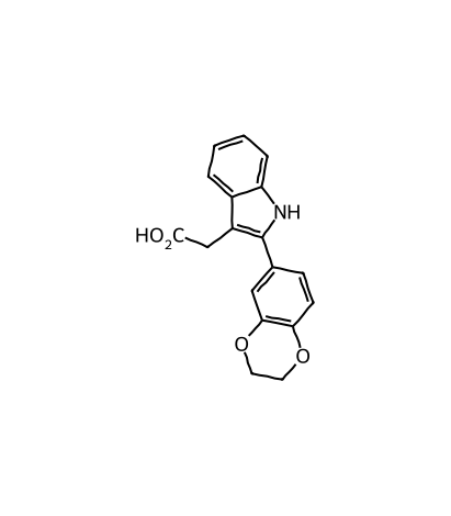 O=C(O)Cc1c(-c2ccc3c(c2)OCCO3)[nH]c2ccccc12